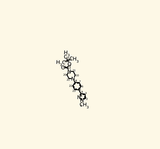 Cn1ccc(-c2ccc(N3CCN(C(=O)OC(C)(C)C)CC3)cc2)n1